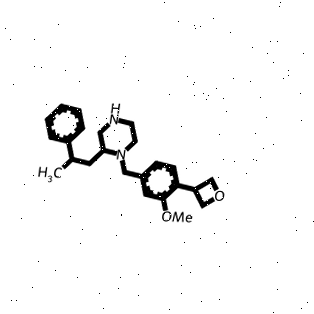 COc1cc(CN2CCNCC2CC(C)c2ccccc2)ccc1C1COC1